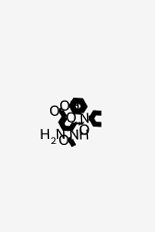 CCC(CC)N(C(=O)[C@@H]1OC(C(=O)O)=C[C@H](N)[C@H]1NC(C)=O)c1ccccc1